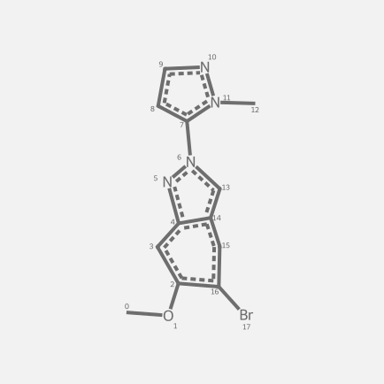 COc1cc2nn(-c3ccnn3C)cc2cc1Br